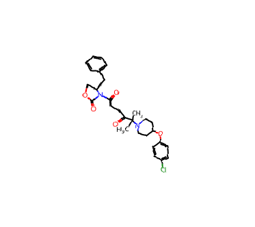 CC(C)(C(=O)CCC(=O)N1C(=O)OCC1Cc1ccccc1)N1CCC(Oc2ccc(Cl)cc2)CC1